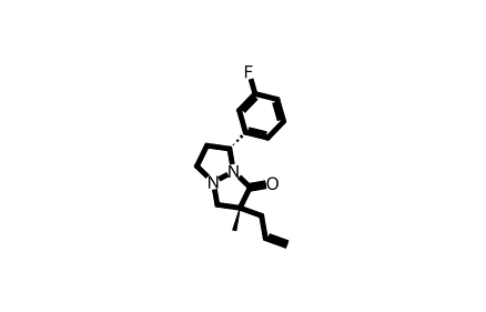 C=CC[C@]1(C)CN2CC[C@H](c3cccc(F)c3)N2C1=O